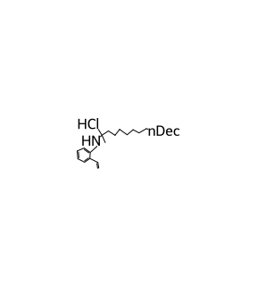 C=Cc1ccccc1CNC(C)(C)CCCCCCCCCCCCCCCCC.Cl